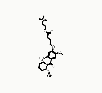 COc1cc(C(=O)N2CCCC[C@H]2CO)c(N)cc1OCCCC(=O)OCC[Si](C)(C)C